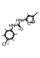 Cc1cc(NC(=O)Nc2ccc(Cl)cc2)on1